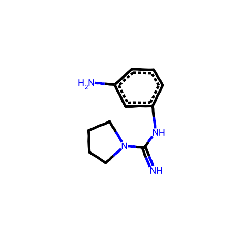 N=C(Nc1cccc(N)c1)N1CCCC1